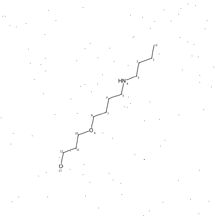 CCCCNCCCCOCCC[O]